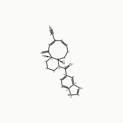 C=C1/C=C(C#N)\C=C/CC[C@H]2[C@@H]1CCCN2C(=O)c1ccc2[nH]cnc2c1